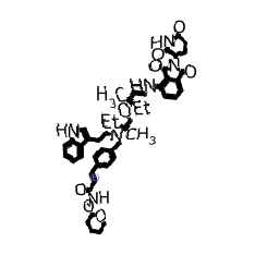 CCC(C)(CCNc1cccc2c1C(=O)N(C1CCC(=O)NC1=O)C2=O)OCC(C)(CC)N(CCc1c[nH]c2ccccc12)Cc1ccc(/C=C/C(=O)NOC2CCCCO2)cc1